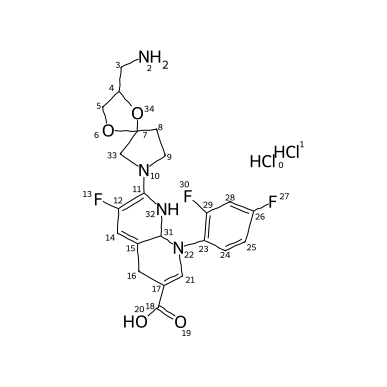 Cl.Cl.NCC1COC2(CCN(C3=C(F)C=C4CC(C(=O)O)=CN(c5ccc(F)cc5F)C4N3)C2)O1